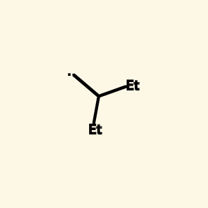 [CH2]C(CC)CC